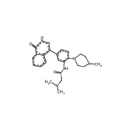 CN(C)CC(=O)Nc1cc(-c2n[nH]c(=O)c3ccccc23)ccc1N1CCN(C)CC1